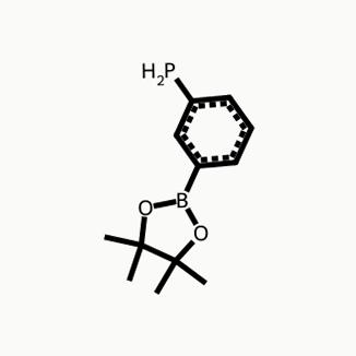 CC1(C)OB(c2cccc(P)c2)OC1(C)C